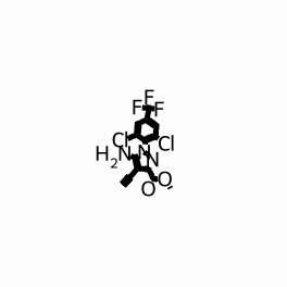 C#Cc1c(C(=O)OC)nn(-c2c(Cl)cc(C(F)(F)F)cc2Cl)c1N